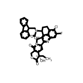 CC[C@@]1(O)C(=O)OCc2c1cc1n(c2=O)Cc2c-1nc1cc(F)c(Cl)c3c1c2C(N(CC1c2ccccc2-c2ccccc21)C(=O)O)CC3